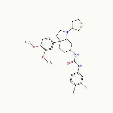 COc1ccc(C23CCC(NC(=O)Nc4ccc(F)c(F)c4)CC2N(C2CCSC2)CC3)cc1OC